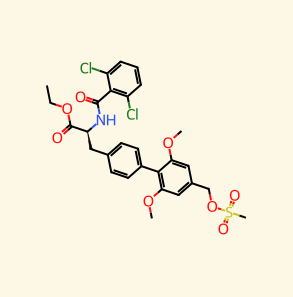 CCOC(=O)[C@H](Cc1ccc(-c2c(OC)cc(COS(C)(=O)=O)cc2OC)cc1)NC(=O)c1c(Cl)cccc1Cl